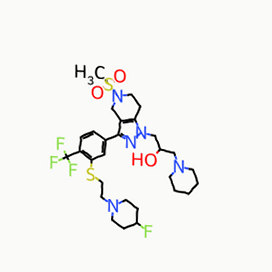 CS(=O)(=O)N1CCc2c(c(-c3ccc(C(F)(F)F)c(SCCN4CCC(F)CC4)c3)nn2CC(O)CN2CCCCC2)C1